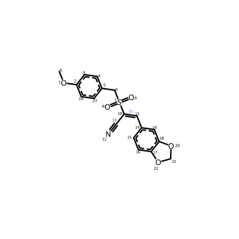 COc1ccc(CS(=O)(=O)/C(C#N)=C/c2ccc3c(c2)OCO3)cc1